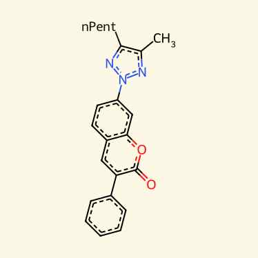 CCCCCc1nn(-c2ccc3cc(-c4ccccc4)c(=O)oc3c2)nc1C